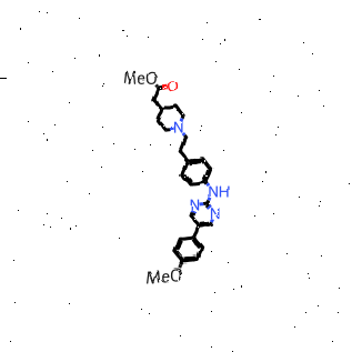 COC(=O)CC1CCN(CCc2ccc(Nc3ncc(-c4ccc(OC)cc4)cn3)cc2)CC1